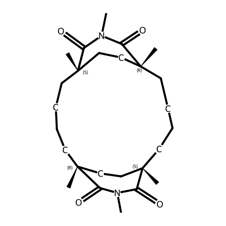 CN1C(=O)[C@@]2(C)CCCC[C@]3(C)CC[C@](C)(CCCC[C@](C)(CC2)C1=O)C(=O)N(C)C3=O